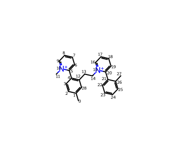 Cc1ccc(-c2cccc[n+]2C)c(CC[n+]2ccccc2-c2ccccc2C)c1